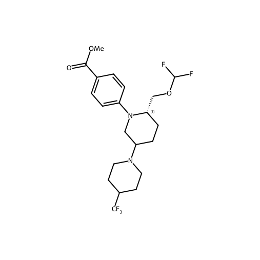 COC(=O)c1ccc(N2CC(N3CCC(C(F)(F)F)CC3)CC[C@H]2COC(F)F)cc1